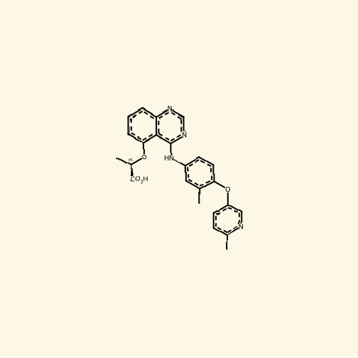 Cc1ccc(Oc2ccc(Nc3ncnc4cccc(O[C@H](C)C(=O)O)c34)cc2C)cn1